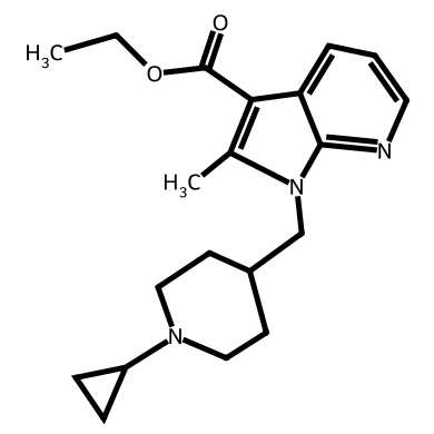 CCOC(=O)c1c(C)n(CC2CCN(C3CC3)CC2)c2ncccc12